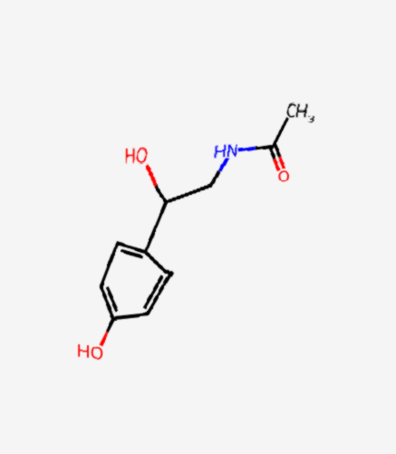 CC(=O)NCC(O)c1ccc(O)cc1